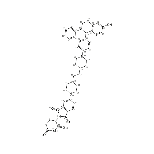 O=C1CCC(N2C(=O)c3ccc(N4CCN(CCC5CCN(c6ccc(C7c8ccc(O)cc8OCC7c7ccccc7)cc6)CC5)CC4)cc3C2=O)C(=O)N1